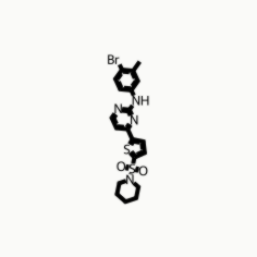 Cc1cc(Nc2nccc(-c3ccc(S(=O)(=O)N4CCCCC4)s3)n2)ccc1Br